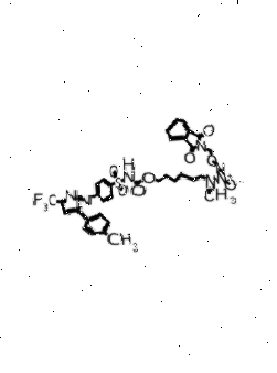 Cc1ccc(-c2cc(C(F)(F)F)nn2-c2ccc(S(=O)(=O)NC(=O)OCCCCCCN(C)/[N+]([O-])=N\OCN3C(=O)c4ccccc4C3=O)cc2)cc1